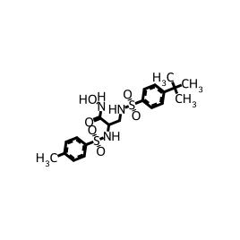 Cc1ccc(S(=O)(=O)NC(CNS(=O)(=O)c2ccc(C(C)(C)C)cc2)C(=O)NO)cc1